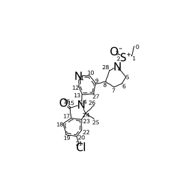 CC[S+]([O-])N1CCCC(c2cncc(N3C(=O)c4ccc(Cl)cc4C3(C)C)c2)C1